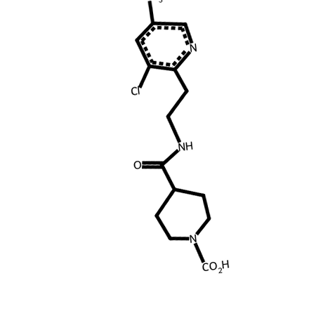 O=C(NCCc1ncc(C(F)(F)F)cc1Cl)C1CCN(C(=O)O)CC1